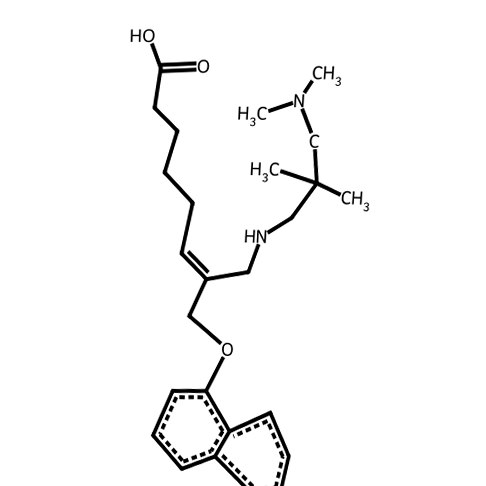 CN(C)CC(C)(C)CNCC(=CCCCCC(=O)O)COc1cccc2ccccc12